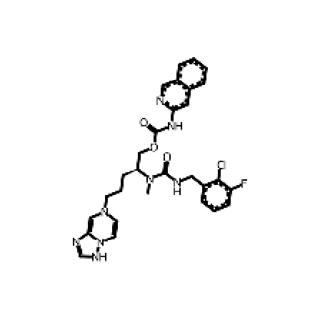 CN(C(=O)NCc1cccc(F)c1Cl)[C@@H](CCCN1C=CN2NC=NC2=C1)COC(=O)Nc1cc2ccccc2cn1